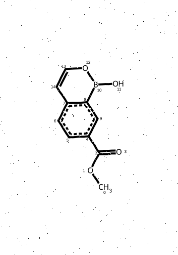 COC(=O)c1ccc2c(c1)B(O)OC=C2